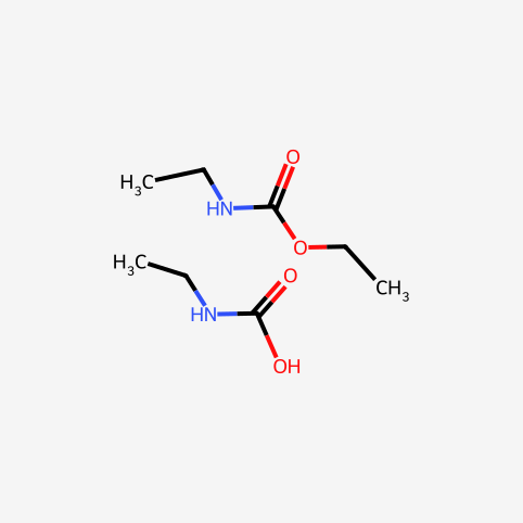 CCNC(=O)O.CCNC(=O)OCC